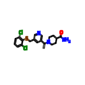 C=C(c1cncc(CSc2c(Cl)cccc2Cl)c1)N1CCC(C(N)=O)CC1